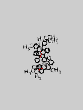 Cc1cnc(N(c2ccc(C(C)(C)C)cc2)c2cc3c(c4ccccc24)-c2c(cc(N(c4ccc(C(C)(C)C)cc4)c4ncc(C)cc4-c4ccccc4)c4c2oc2ccccc24)C3(c2ccccc2)c2ccccc2)c(-c2ccccc2)c1